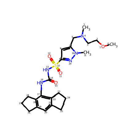 COCCN(C)Cc1cc(S(=O)(=O)NC(=O)Nc2c3c(cc4c2CCC4)CCC3)nn1C